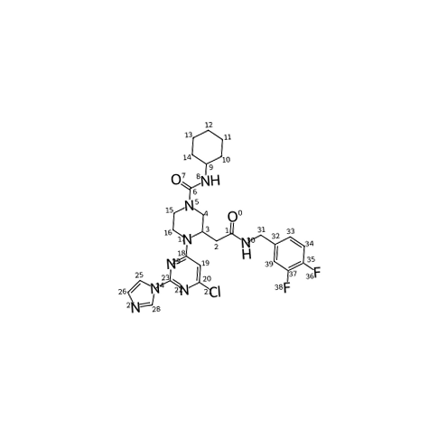 O=C(CC1CN(C(=O)NC2CCCCC2)CCN1c1cc(Cl)nc(-n2ccnc2)n1)NCc1ccc(F)c(F)c1